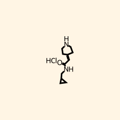 Cl.O=C(C=C1CCNCC1)NCC1CC1